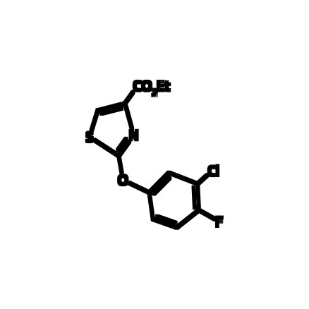 CCOC(=O)c1csc(Oc2ccc(F)c(Cl)c2)n1